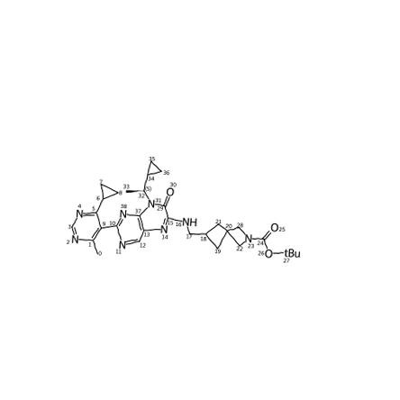 Cc1ncnc(C2CC2)c1-c1ncc2nc(NCC3CC4(C3)CN(C(=O)OC(C)(C)C)C4)c(=O)n([C@@H](C)C3CC3)c2n1